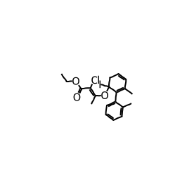 CCOC(=O)C(Cl)=C(C)OC1(I)CC=CC(C)=C1c1ccccc1C